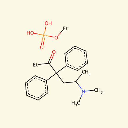 CCC(=O)C(CC(C)N(C)C)(c1ccccc1)c1ccccc1.CCOP(=O)(O)O